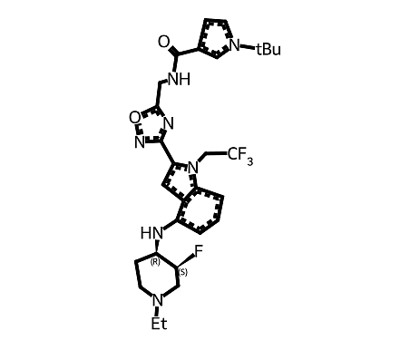 CCN1CC[C@@H](Nc2cccc3c2cc(-c2noc(CNC(=O)c4ccn(C(C)(C)C)c4)n2)n3CC(F)(F)F)[C@@H](F)C1